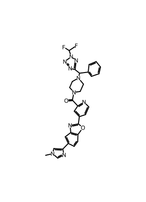 Cn1cnc(-c2ccc3oc(-c4ccnc(C(=O)N5CCN(C(c6ccccc6)c6nnn(C(F)F)n6)CC5)c4)nc3c2)c1